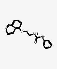 O=C(NCCOc1cccc2cnccc12)Nc1ccccc1